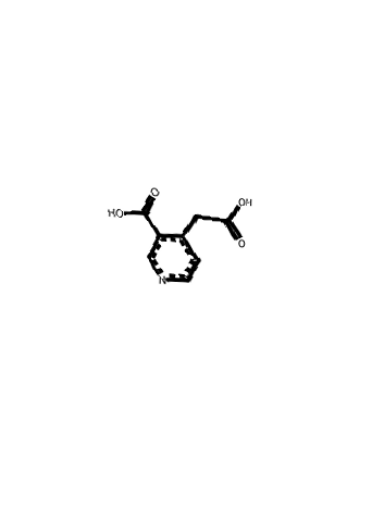 O=C(O)Cc1ccncc1C(=O)O